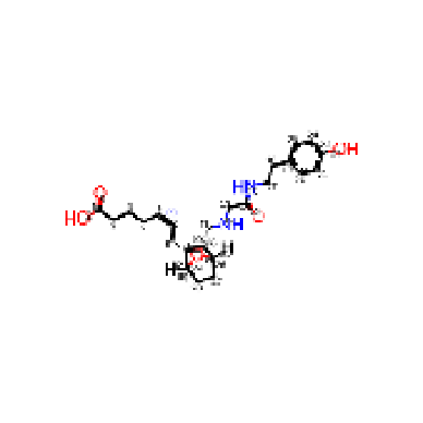 O=C(O)CCC/C=C\C[C@@H]1[C@H](CNCC(=O)NCCc2ccc(O)cc2)[C@@H]2CC[C@H]1O2